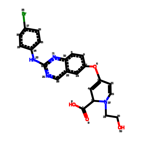 O=C(O)C1C=C(Oc2ccc3nc(Nc4ccc(Br)cc4)ncc3c2)C=CN1CCO